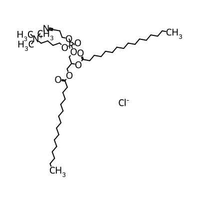 CCCCCCCCCCCCCCCC(=O)OCC(COP(=O)(OCCC#N)OCCCC[N+](C)(C)C)OC(=O)CCCCCCCCCCCCCCC.[Cl-]